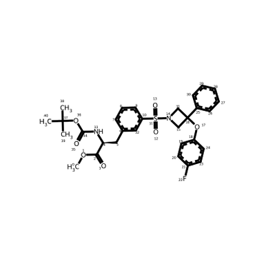 COC(=O)[C@H](Cc1cccc(S(=O)(=O)N2CC(Oc3ccc(F)cc3)(c3ccccc3)C2)c1)NC(=O)OC(C)(C)C